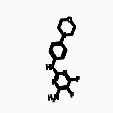 Nc1nc(Nc2ccc(N3CCOCC3)cc2)nc(F)c1F